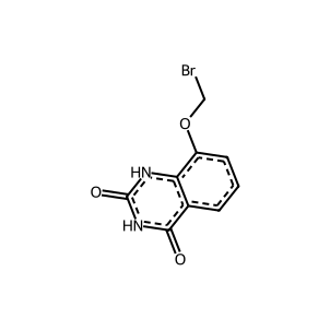 O=c1[nH]c(=O)c2cccc(OCBr)c2[nH]1